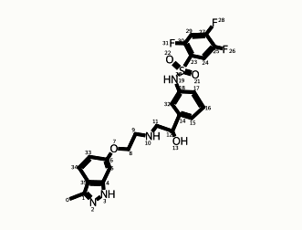 Cc1n[nH]c2cc(OCCNCC(O)c3cccc(NS(=O)(=O)c4cc(F)c(F)cc4F)c3)ccc12